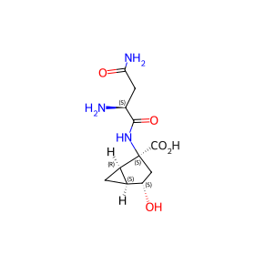 NC(=O)C[C@H](N)C(=O)N[C@@]1(C(=O)O)C[C@H](O)[C@H]2C[C@H]21